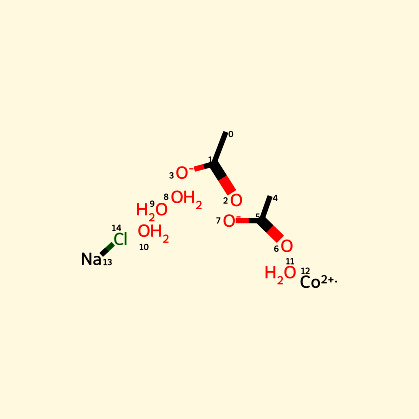 CC(=O)[O-].CC(=O)[O-].O.O.O.O.[Co+2].[Na][Cl]